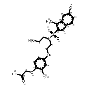 CCCN(CCOc1ccc(OCC(=O)O)c(C)c1)S(=O)(=O)c1sc2ccc(Cl)cc2c1C